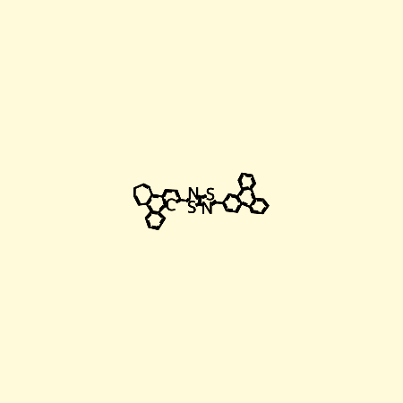 C1=Cc2c(c3ccc(-c4nc5sc(-c6ccc7c8ccccc8c8ccccc8c7c6)nc5s4)cc3c3ccccc23)C=CC1